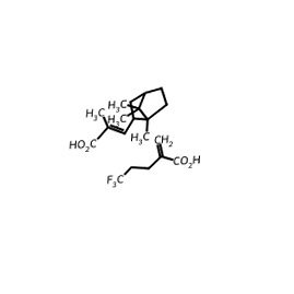 C=C(CCC(F)(F)F)C(=O)O.CC(=CC1CC2CCC1(C)C2(C)C)C(=O)O